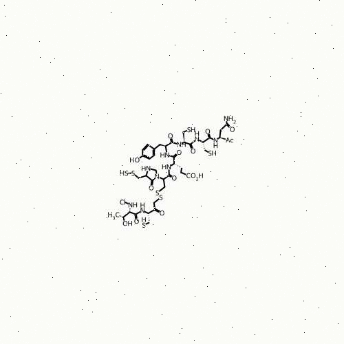 CC(=O)[C@H](CC(N)=O)NC(=O)[C@H](CS)NC(=O)[C@H](CS)NC(=O)[C@H](Cc1ccc(O)cc1)NC(=O)[C@H](CCC(=O)O)NC(=O)C(CSSCC(=O)[C@H](CS)NC(=O)[C@@H](NCl)[C@@H](C)O)N1CNC(CSS)C1=O